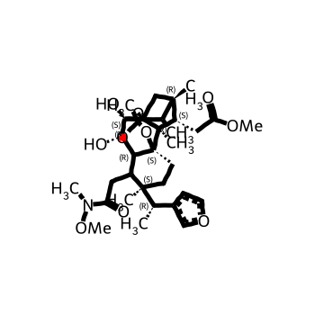 COC(=O)C[C@@H]1[C@@]2(C)[C@@]34CC[C@@](C)([C@@H](C)c5ccoc5)C(CC(=O)N(C)OC)[C@]35OC(C)(O4)O[C@@]23C[C@@]1(C)C(C)[C@]3(O)[C@H]5O